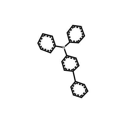 [c]1ccc(N(c2ccccc2)c2ccc(-c3ccccc3)cc2)cc1